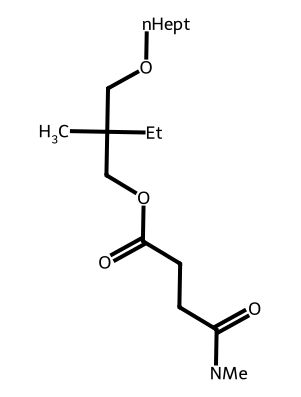 CCCCCCCOCC(C)(CC)COC(=O)CCC(=O)NC